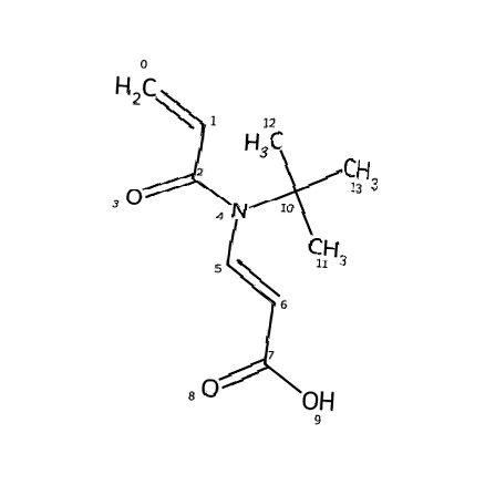 C=CC(=O)N(C=CC(=O)O)C(C)(C)C